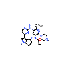 C=CC(=O)Nc1cc(Nc2nccc(-c3cn(C)c4ccccc34)n2)c(OC)nc1N1CCN(C)CC1